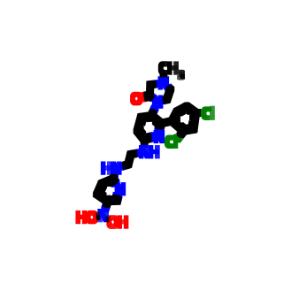 CN1CCN(c2ccc(NCCNc3ccc(N(O)O)cn3)nc2-c2ccc(Cl)cc2Cl)C(=O)C1